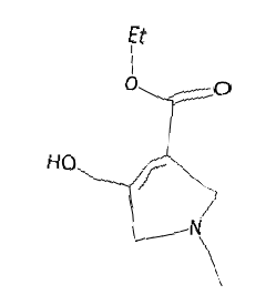 CCOC(=O)C1=C(O)CN(C)C1